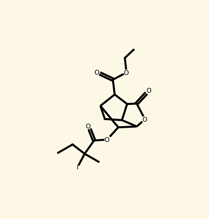 CCOC(=O)C1C2CC3C(OC(=O)C31)C2OC(=O)C(C)(I)CC